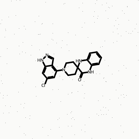 O=C1Nc2ccccc2NC12CCN(c1cc(Cl)cc3[nH]ncc13)CC2